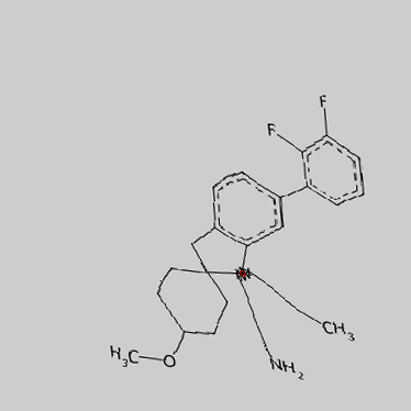 COC1CCC2(CC1)Cc1ccc(-c3cccc(F)c3F)cc1C21N=C(C)C(N)=N1